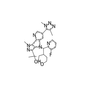 Cc1nnn(C)c1-c1cnc2c3c(c(C(C)(C)O)nn3C)n(C(c3ncccc3F)C3CCOCC3)c2c1